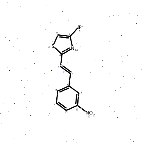 CC(C)c1csc(/C=C/c2cccc([N+](=O)[O-])c2)n1